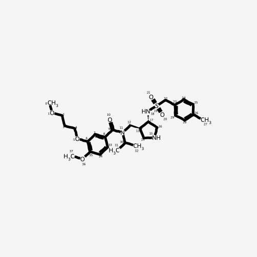 COCCCOc1cc(C(=O)N(C[C@@H]2CNC[C@H]2NS(=O)(=O)Cc2ccc(C)cc2)C(C)C)ccc1OC